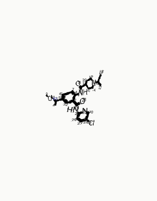 CO/N=C(\C)c1ccc(NC(=O)C2CCN(C(C)C)CC2)c(C(=O)Nc2ccc(Cl)cn2)c1